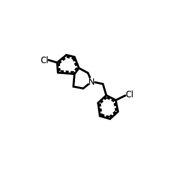 Clc1ccc2c(c1)CCN(Cc1ccccc1Cl)C2